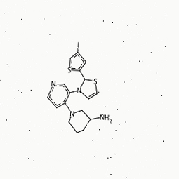 Cc1csc(C2SC=CN2c2cnccc2N2CCCC(N)C2)c1